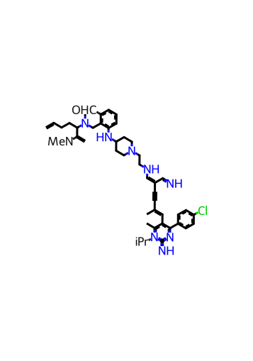 C=CCCC(C(=C)NC)N(C)Cc1c(C=O)cccc1NC1CCN(CCN/C=C(/C#C/C(C)=C/c2c(-c3ccc(Cl)cc3)nc(=N)n(C(C)C)c2C)C=N)CC1